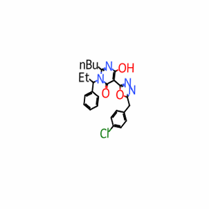 CCCCc1nc(O)c(-c2nnc(Cc3ccc(Cl)cc3)o2)c(=O)n1C(CC)c1ccccc1